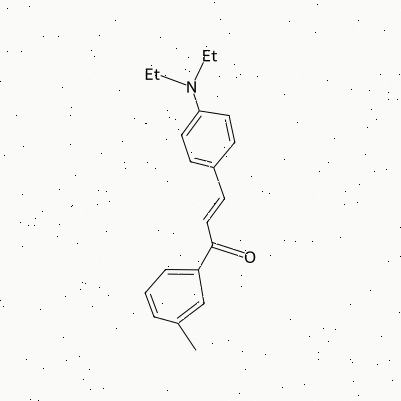 CCN(CC)c1ccc(C=CC(=O)c2cccc(C)c2)cc1